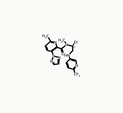 CC[C@@H](CNc1ccc(C(F)(F)F)nc1)N(C)C(=O)c1nc(C)ccc1-n1nccn1